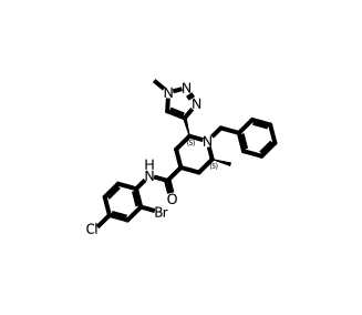 C[C@H]1CC(C(=O)Nc2ccc(Cl)cc2Br)C[C@@H](c2cn(C)nn2)N1Cc1ccccc1